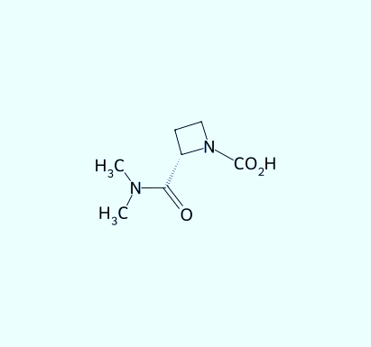 CN(C)C(=O)[C@@H]1CCN1C(=O)O